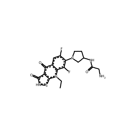 CCn1c2s[nH]c(=O)c2c(=O)c2cc(F)c(N3CCC(NC(=O)CN)C3)c(F)c21